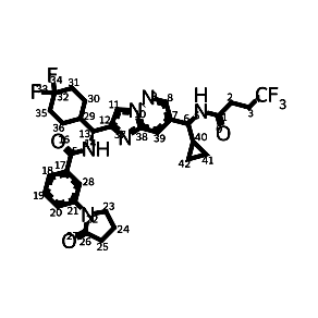 O=C(CCC(F)(F)F)NC(c1cnn2cc([C@@H](NC(=O)c3cccc(N4CCCC4=O)c3)C3CCC(F)(F)CC3)nc2c1)C1CC1